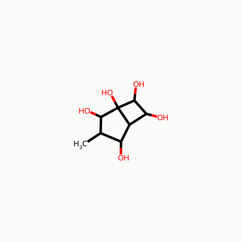 CC1C(O)C2C(O)C(O)C2(O)C1O